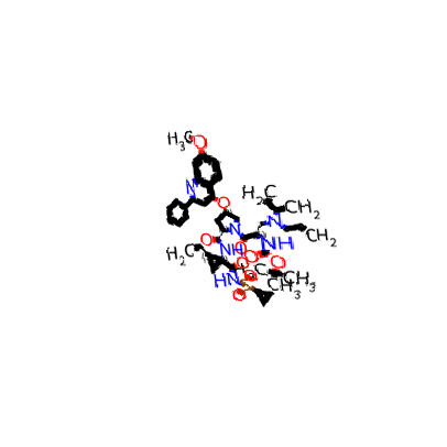 C=CCN(C[C@H](NC(=O)OC(C)(C)C)C(=O)N1C[C@H](Oc2cc(-c3ccccc3)nc3cc(OC)ccc23)C[C@H]1C(=O)N[C@]1(C(=O)NS(=O)(=O)C2CC2)C[C@H]1C=C)C(=C)C=C